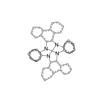 c1ccc(N2c3c(c4ccccc4c4ccccc34)N(c3ccccc3)C23N(c2ccccc2)c2c(c4ccccc4c4ccccc24)N3c2ccccc2)cc1